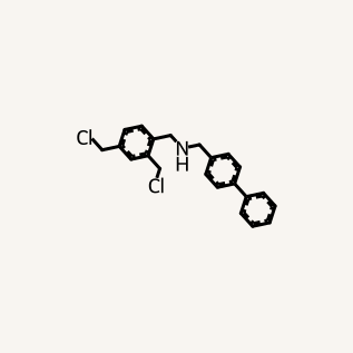 ClCc1ccc(CNCc2ccc(-c3ccccc3)cc2)c(CCl)c1